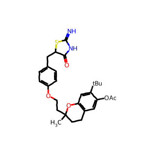 CC(=O)Oc1cc2c(cc1C(C)(C)C)OC(C)(CCOc1ccc(CC3SC(=N)NC3=O)cc1)CC2